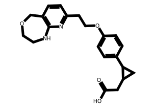 O=C(O)CC1CC1c1ccc(OCCc2ccc3c(n2)NCCOC3)cc1